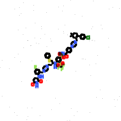 CC1(C)CCC(c2ccc(Cl)cc2)=C(CN2CCN(c3ccc(C(=O)NS(=O)(=O)c4ccc(N[C@H](CCN5CCN(Cc6cc(F)ccc6NC6CCC(=O)NC6=O)CC5)CSc5ccccc5)c(S(=O)(=O)C(F)(F)F)c4)cc3)CC2)C1